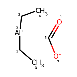 C[CH2][Al+][CH2]C.O=C[O-]